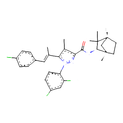 C/C(=C\c1ccc(Cl)cc1)c1c(C)c(C(=O)N[C@H]2C(C)(C)[C@@H]3CC[C@@]2(C)C3)nn1-c1ccc(Cl)cc1Cl